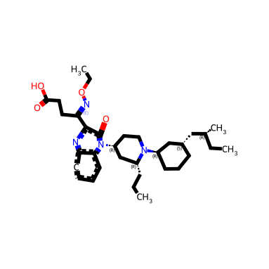 CCC[C@@H]1C[C@H](n2c(=O)c(/C(CCC(=O)O)=N/OCC)nc3ccccc32)CCN1[C@@H]1CCC[C@@H](C[C@H](C)CC)C1